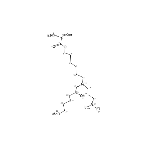 CCCCCCCCC(CCCCCC)C(=O)OCCCCCCN(CCCN(CC)CC)CC(O)CSCCOC